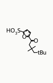 CC(C)(C)CC(C)(C)CC(=O)c1ccc(S(=O)(=O)O)o1